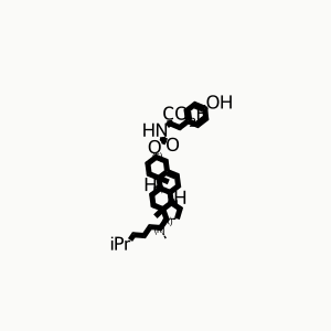 CC(C)CCC[C@@H](C)[C@H]1CC[C@H]2C3CC=C4C[C@@H](OC(=O)NC(Cc5ccc(O)cc5)C(=O)O)CCC4(C)[C@H]3CCC12C